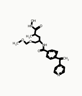 C=C(c1ccncc1)c1ccc(C(=O)NC(COCOC)CC(C)C(=O)NO)cc1